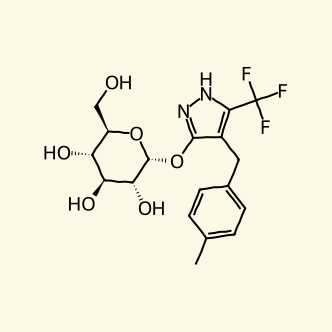 Cc1ccc(Cc2c(O[C@H]3O[C@H](CO)[C@@H](O)[C@H](O)[C@H]3O)n[nH]c2C(F)(F)F)cc1